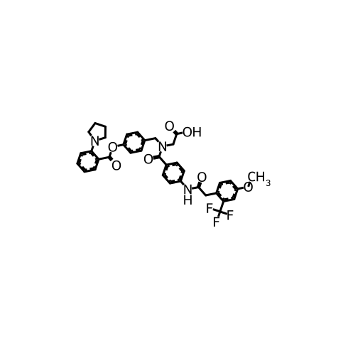 COc1ccc(CC(=O)Nc2ccc(C(=O)N(CC(=O)O)Cc3ccc(OC(=O)c4ccccc4N4CCCC4)cc3)cc2)c(C(F)(F)F)c1